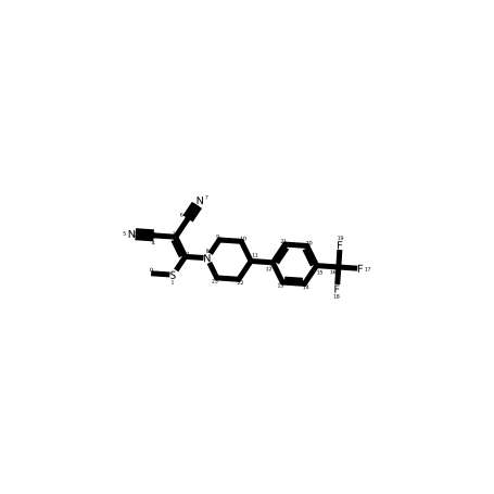 CSC(=C(C#N)C#N)N1CCC(c2ccc(C(F)(F)F)cc2)CC1